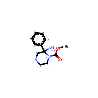 CC(C)(C)OC(=O)N1CCNCC1(N)c1ccccc1